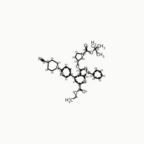 CCOC(=O)c1cc(-c2ccc(N3CCC(C#N)CC3)nc2)c2c(OC3CCN(C(=O)OC(C)(C)C)C3)nn(-c3ccccc3)c2n1